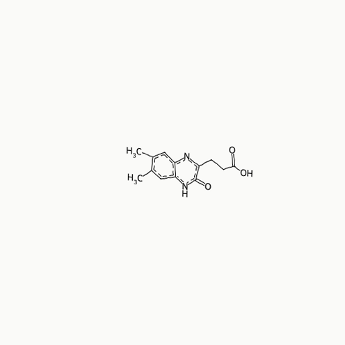 Cc1cc2nc(CCC(=O)O)c(=O)[nH]c2cc1C